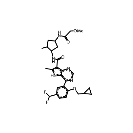 COCC(=O)NC1CC(C)C(NC(=O)c2c(C)[nH]c3c(-c4cc(C(F)F)ccc4OCC4CC4)ncnc23)C1